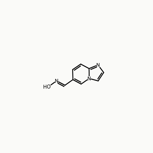 ON=Cc1ccc2nccn2c1